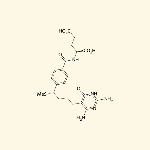 CS[C@@H](CCCc1c(N)nc(N)[nH]c1=O)c1ccc(C(=O)N[C@@H](CCC(=O)O)C(=O)O)cc1